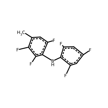 Cc1cc(F)c(Bc2c(F)cc(F)cc2F)c(F)c1F